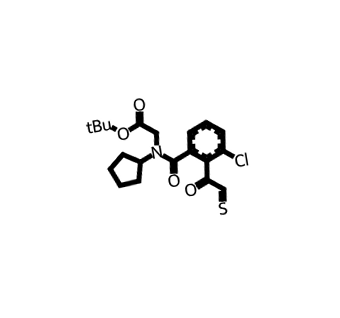 CC(C)(C)OC(=O)CN(C(=O)c1cccc(Cl)c1C(=O)C=S)C1CCCC1